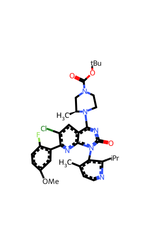 COc1ccc(F)c(-c2nc3c(cc2Cl)c(N2CCN(C(=O)OC(C)(C)C)C[C@@H]2C)nc(=O)n3-c2c(C)ccnc2C(C)C)c1